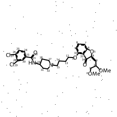 COCC(C=C1Oc2cccc(OCCCCN3CCC(NC(=O)c4ccc(Cl)c(Cl)c4)CC3)c2C1=O)OC